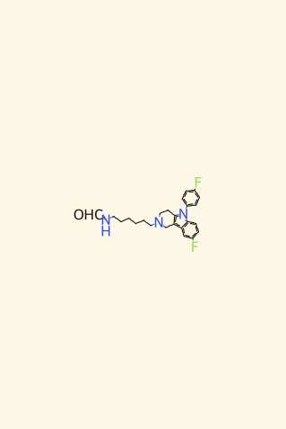 O=CNCCCCCCN1CCc2c(c3cc(F)ccc3n2-c2ccc(F)cc2)C1